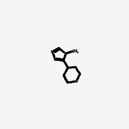 Cn1cnnc1C1CC[N]CC1